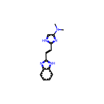 CN(C)c1c[nH]c(/C=C/c2nc3ccccc3[nH]2)n1